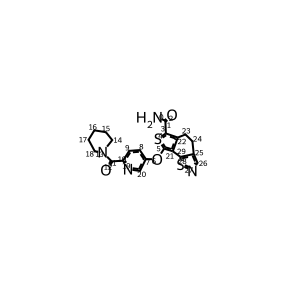 NC(=O)c1sc(Oc2ccc(C(=O)N3CCCCC3)nc2)c2c1CCc1cnsc1-2